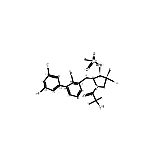 CC(C)(O)C(=O)N1C[C@@](C)(F)[C@H](NS(C)(=O)=O)[C@@H]1Cc1cccc(-c2cc(F)cc(F)c2)c1F